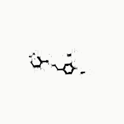 CC(C)(C)C(=O)Oc1ccc(CCNC(=O)C2=C[N+](C)(O)CC=C2O)cc1OC(=O)C(C)(C)C